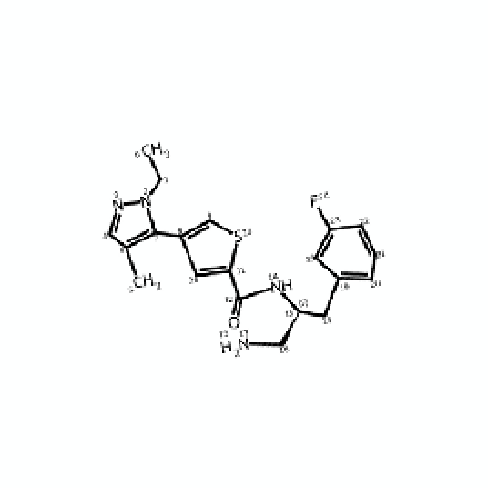 CCn1ncc(C)c1-c1csc(C(=O)N[C@H](CN)Cc2cccc(F)c2)c1